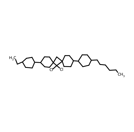 CCCCCCC1CCC(C2CCC3(CC2)CC2(CCC(C4CCC(CC)CC4)CC2)C3(Cl)Cl)CC1